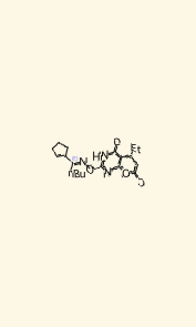 CCCC/C(=N\Oc1nc2oc(=O)cc(CC)c2c(=O)[nH]1)C1=CCC=C1